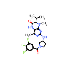 Cc1nc(N[C@H]2CCN(C(=O)c3cc(F)c(F)c(F)c3)C2)nc2c1NC(=O)[C@H](C(C)C)N2C